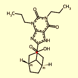 CCCn1c(=O)c2[nH]c(C3C[C@H]4CC[C@H](C3)C4C(=O)O)nc2n(CCC)c1=O